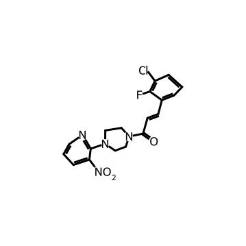 O=C(C=Cc1cccc(Cl)c1F)N1CCN(c2ncccc2[N+](=O)[O-])CC1